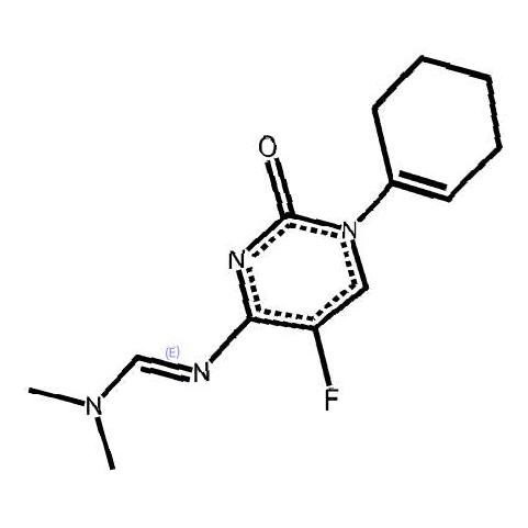 CN(C)/C=N/c1nc(=O)n(C2=CCCCC2)cc1F